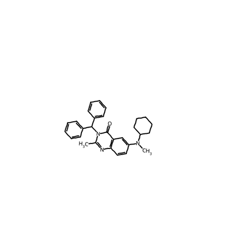 Cc1nc2ccc(N(C)C3CCCCC3)cc2c(=O)n1C(c1ccccc1)c1ccccc1